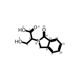 O=C(O)C(CO)N1Cc2ccccc2C1=O